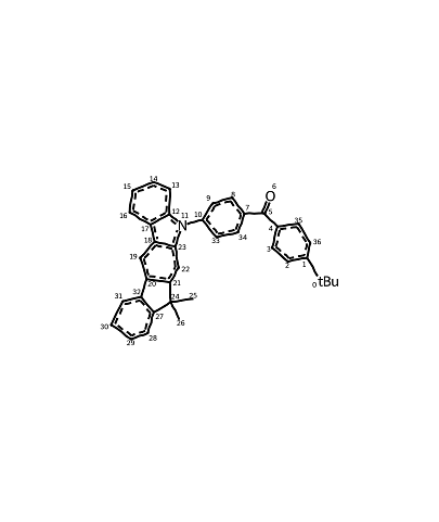 CC(C)(C)c1ccc(C(=O)c2ccc(-n3c4ccccc4c4cc5c(cc43)C(C)(C)c3ccccc3-5)cc2)cc1